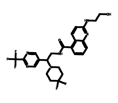 O=C(NCC(c1cnc(C(F)(F)F)nc1)N1CCC(F)(F)CC1)c1cccc2nc(NCCO)ccc12